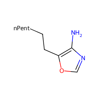 CCCCCCCc1ocnc1N